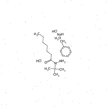 CCCCCCC(=O)N(N)C(C)(C)C.Cc1ccccc1.Cl.Cl.O.[NaH]